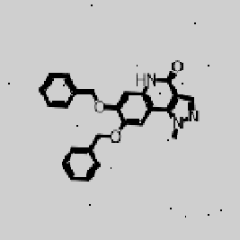 Cn1ncc2c(=O)[nH]c3cc(OCc4ccccc4)c(OCc4ccccc4)cc3c21